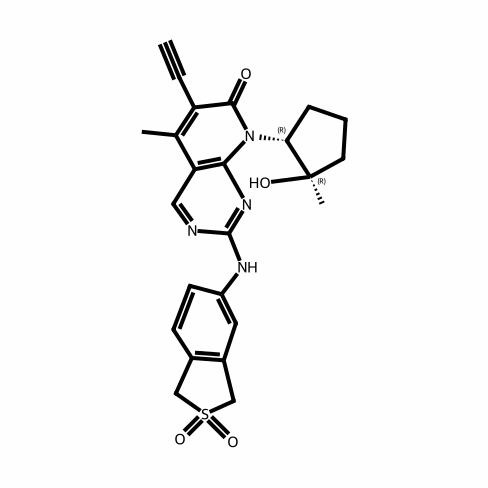 C#Cc1c(C)c2cnc(Nc3ccc4c(c3)CS(=O)(=O)C4)nc2n([C@@H]2CCC[C@@]2(C)O)c1=O